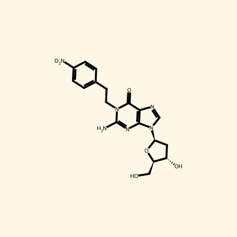 Nc1nc2c(ncn2[C@H]2C[C@H](O)[C@@H](CO)O2)c(=O)n1CCc1ccc([N+](=O)[O-])cc1